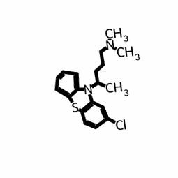 CC(CCCN(C)C)N1c2ccccc2Sc2ccc(Cl)cc21